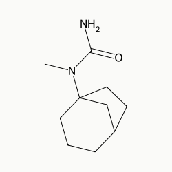 CN(C(N)=O)C12CCCC(CC1)C2